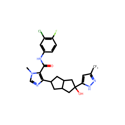 Cn1cnc(C2CC3CC(O)(c4cc(C(F)(F)F)n[nH]4)CC3C2)c1C(=O)Nc1ccc(F)c(Cl)c1